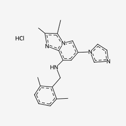 Cc1cccc(C)c1CNc1cc(-n2ccnc2)cn2c(C)c(C)nc12.Cl